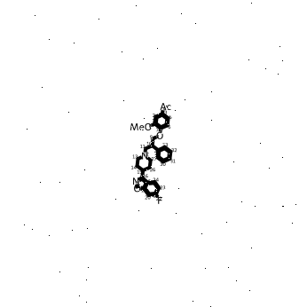 COc1cc(C(C)=O)ccc1OCC(CN1CCC(c2noc3cc(F)ccc23)CC1)c1ccccc1